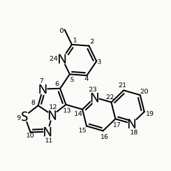 Cc1cccc(-c2nc3scnn3c2-c2ccc3ncccc3n2)n1